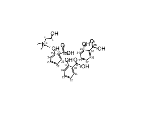 C[N+](C)(C)CCO.O=C(O)c1ccccc1O.O=C(O)c1ccccc1O.O=C(O)c1ccccc1O